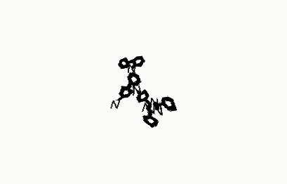 N#Cc1ccc2c3cc(-n4c5ccccc5c5ccccc54)ccc3n(-c3ccc(-c4nc(-c5ccccc5)nc(-c5ccccc5)n4)cc3)c2c1